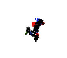 O=C(C1CCN(Cc2ccccc2F)CC1c1ccccc1)N1CCC(O)(Cn2cnc3[nH]ccc3c2=O)CC1